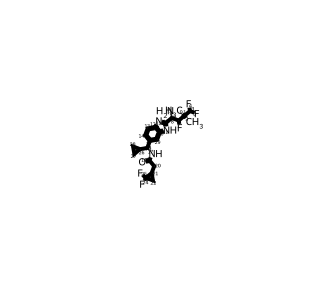 CC(C)(C(F)F)C(F)[C@@H](N)c1nc2ccc([C@H](NC(=O)CC3CC3(F)F)C3CC3)cc2[nH]1